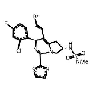 CNS(=O)(=O)N[C@H]1CC2=C(/C=C/Br)[C@H](c3ccc(F)cc3Cl)N=C(c3nccs3)N2C1